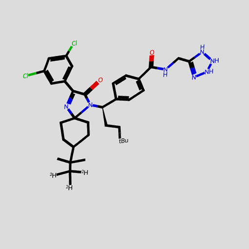 [2H]C([2H])([2H])C(C)(C)C1CCC2(CC1)N=C(c1cc(Cl)cc(Cl)c1)C(=O)N2[C@H](CCC(C)(C)C)c1ccc(C(=O)NCC2=NNNN2)cc1